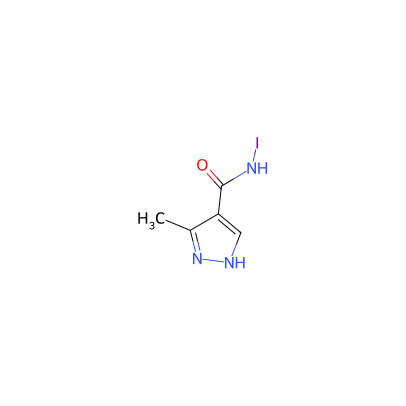 Cc1n[nH]cc1C(=O)NI